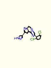 Clc1cccc(Cl)c1-c1cn2ccc3ncc(-c4cn[nH]c4)cc3c2n1